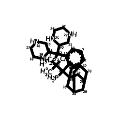 CC(C)(C)C(P)(c1ccccc1C(P)(C1CNCCN1)C1CNCCN1)C12CC3CC(CC(C3)C1)C2